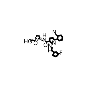 N#Cc1ccccc1-c1ccc(C(=O)NC[C@H]2CCN2C(=O)CO)c(NCCc2cccc(F)c2)n1